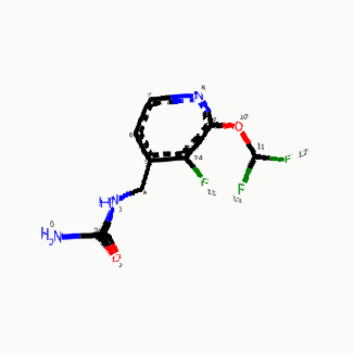 NC(=O)NCc1ccnc(OC(F)F)c1F